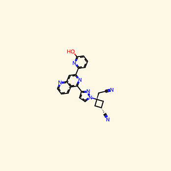 N#CC[C@]1(n2ccc(-c3nc(-c4cccc(O)n4)cc4ncccc34)n2)C[C@@H](C#N)C1